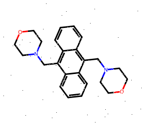 c1ccc2c(CN3CCOCC3)c3ccccc3c(CN3CCOCC3)c2c1